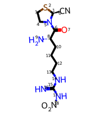 N#C[C@@H]1SCCN1C(=O)[C@@H](N)CCCCNC(=N)N[N+](=O)[O-]